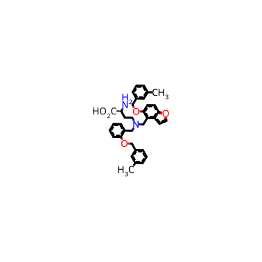 Cc1cccc(COc2ccccc2CN(CC[C@H](N)C(=O)O)Cc2c(OCc3cccc(C)c3)ccc3occc23)c1